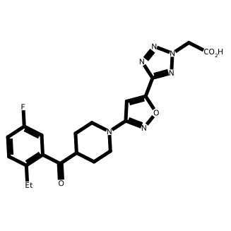 CCc1ccc(F)cc1C(=O)C1CCN(c2cc(-c3nnn(CC(=O)O)n3)on2)CC1